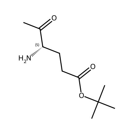 CC(=O)[C@@H](N)CCC(=O)OC(C)(C)C